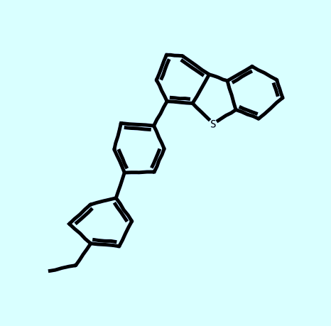 CCc1ccc(-c2ccc(-c3cccc4c3sc3ccccc34)cc2)cc1